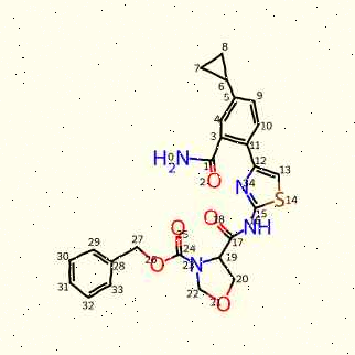 NC(=O)c1cc(C2CC2)ccc1-c1csc(NC(=O)C2COCN2C(=O)OCc2ccccc2)n1